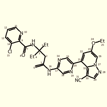 C=C(CC(CC)(CC)NC(=O)c1ncccc1Cl)Nc1cnc(-c2cc(OCC)cn3ncc(C#N)c23)cn1